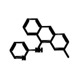 Cc1ccc2cc3ccccc3c(Nc3ccccn3)c2c1